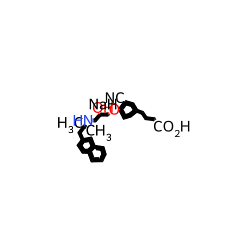 CC(C)(Cc1ccc2ccccc2c1)NCC(O)COc1ccc(CCCC(=O)O)cc1C#N.[NaH]